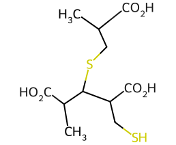 CC(CSC(C(C)C(=O)O)C(CS)C(=O)O)C(=O)O